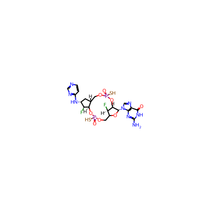 Nc1nc2c(ncn2[C@@H]2OC3COP(=O)(S)O[C@@H]4[C@@H](COP(=O)(S)O[C@@H]2[C@@H]3F)C[C@@H](Nc2ccncn2)[C@@H]4F)c(=O)[nH]1